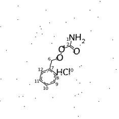 Cl.NC(=O)OOCc1ccccc1